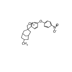 CCC1(c2ccc(Oc3ccc([N+](=O)[O-])cc3)cc2)CC2CC(C)CC(C2)C1